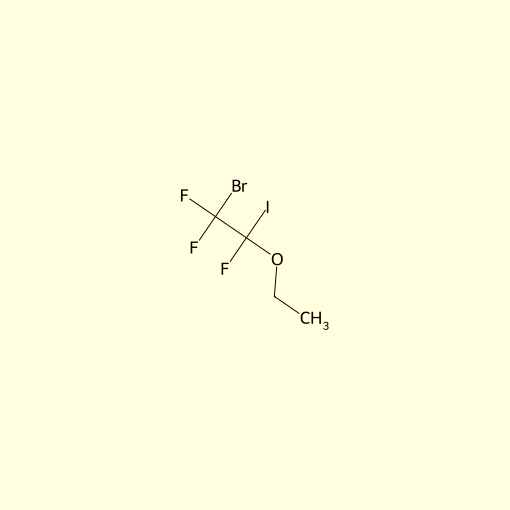 CCOC(F)(I)C(F)(F)Br